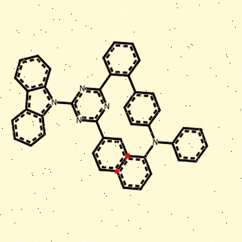 c1ccc(-c2nc(-c3ccccc3-c3ccc(N(c4ccccc4)c4ccccc4)cc3)nc(-n3c4ccccc4c4ccccc43)n2)cc1